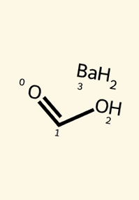 O=CO.[BaH2]